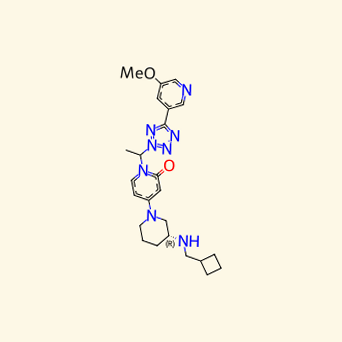 COc1cncc(-c2nnn(C(C)n3ccc(N4CCC[C@@H](NCC5CCC5)C4)cc3=O)n2)c1